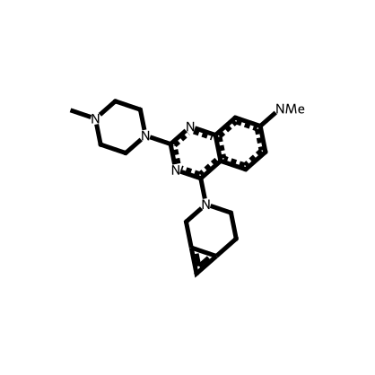 CNc1ccc2c(N3CCC4=C=C4C3)nc(N3CCN(C)CC3)nc2c1